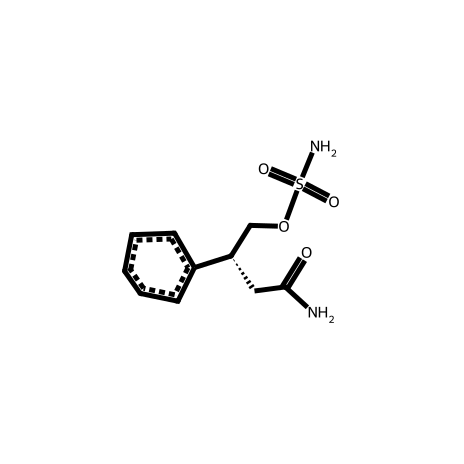 NC(=O)C[C@@H](COS(N)(=O)=O)c1ccccc1